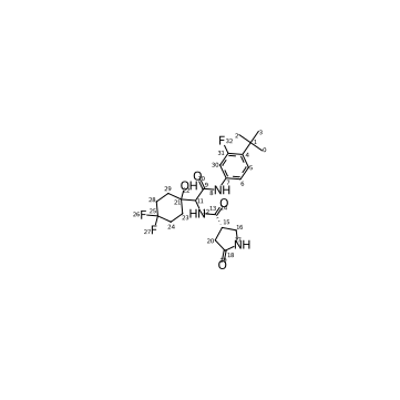 CC(C)(C)c1ccc(NC(=O)C(NC(=O)[C@@H]2CNC(=O)C2)C2(O)CCC(F)(F)CC2)cc1F